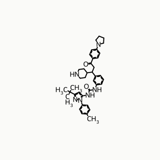 Cc1ccc(-n2nc(C(C)(C)C)cc2NC(=O)Nc2cccc(C(CC(=O)c3ccc(N4CCCC4)cc3)C3CCNCC3)c2)cc1